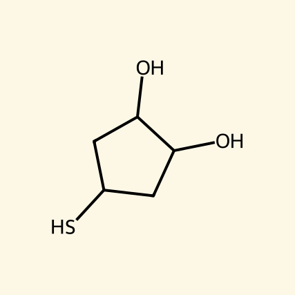 OC1CC(S)CC1O